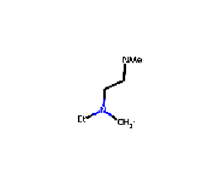 [CH2]N(CC)CCNC